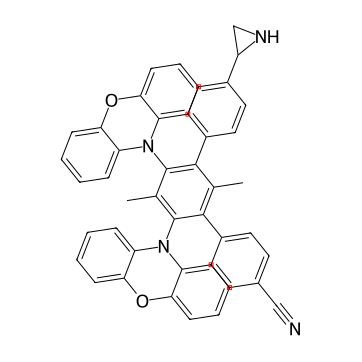 Cc1c(-c2ccc(C#N)cc2)c(N2c3ccccc3Oc3ccccc32)c(C)c(N2c3ccccc3Oc3ccccc32)c1-c1ccc(C2CN2)cc1